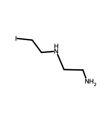 NCCNCCI